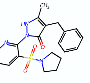 Cc1[nH]n(-c2ncccc2S(=O)(=O)N2CCCC2)c(=O)c1Cc1ccccc1